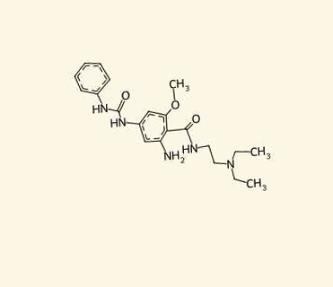 CCN(CC)CCNC(=O)c1c(N)cc(NC(=O)Nc2ccccc2)cc1OC